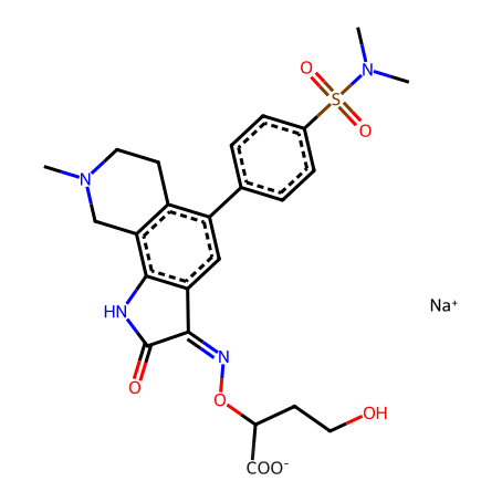 CN1CCc2c(-c3ccc(S(=O)(=O)N(C)C)cc3)cc3c(c2C1)NC(=O)C3=NOC(CCO)C(=O)[O-].[Na+]